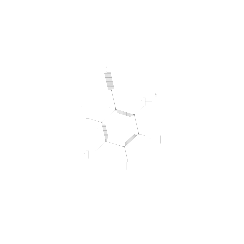 [2H]c1c([2H])c(C#C)c([2H])c([2H])c1F